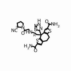 C[C@H](CC1(c2nn[nH]n2)c2cc(C(N)=O)sc2CCc2cc(C(N)=O)sc21)NCC(=O)N1CCC[C@H]1C#N